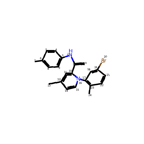 C=C(Nc1ccc(C)cc1)C1=C=C(C)C=CN1c1cc(Br)ccc1C